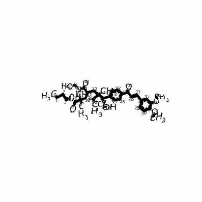 CCCCOC(=O)C(C)(C)CC(CC(C)(CC)C(OO)c1ccc(C(=O)C=Cc2ccc(OC)c(OC)c2)cc1)C(=O)NCO